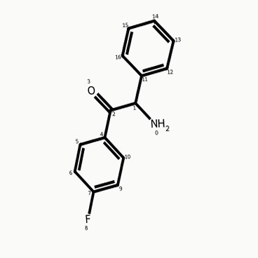 NC(C(=O)c1ccc(F)cc1)c1cc[c]cc1